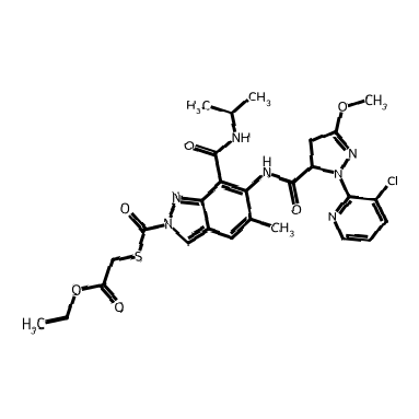 CCOC(=O)CSC(=O)n1cc2cc(C)c(NC(=O)C3CC(OC)=NN3c3ncccc3Cl)c(C(=O)NC(C)C)c2n1